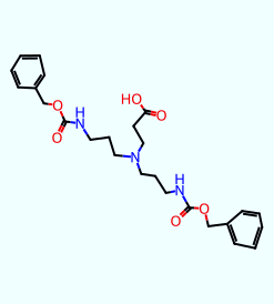 O=C(O)CCN(CCCNC(=O)OCc1ccccc1)CCCNC(=O)OCc1ccccc1